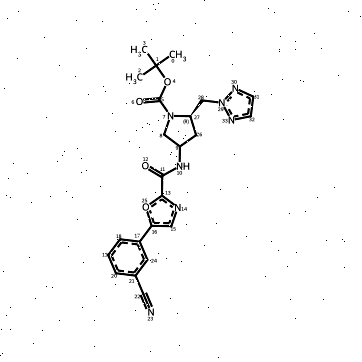 CC(C)(C)OC(=O)N1CC(NC(=O)c2ncc(-c3cccc(C#N)c3)o2)C[C@@H]1Cn1nccn1